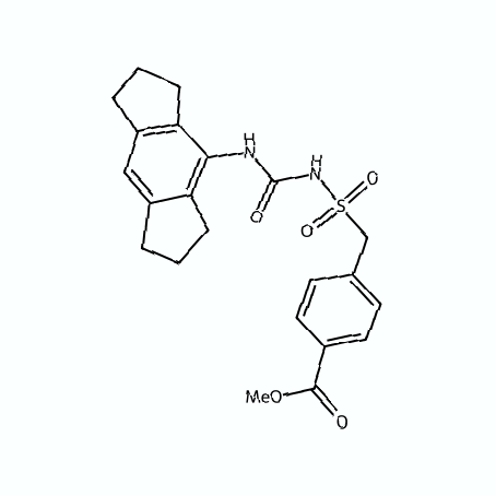 COC(=O)c1ccc(CS(=O)(=O)NC(=O)Nc2c3c(cc4c2CCC4)CCC3)cc1